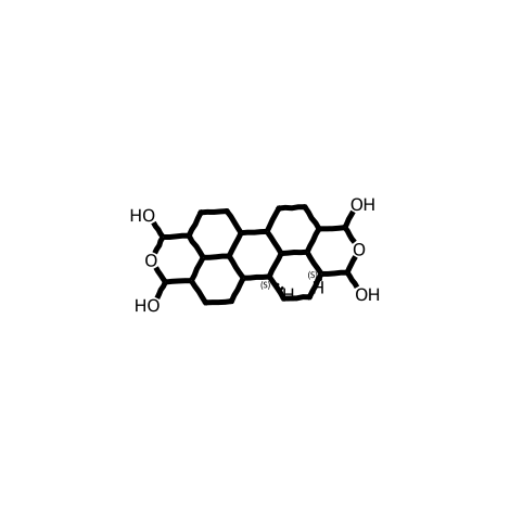 OC1OC(O)C2CCC3C4C(CCC1C24)C1CCC2C(O)OC(O)[C@H]4CC[C@@H]3C1C24